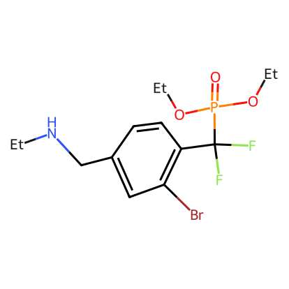 CCNCc1ccc(C(F)(F)P(=O)(OCC)OCC)c(Br)c1